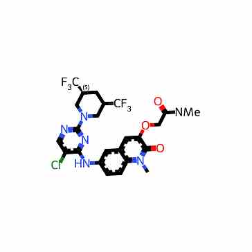 CNC(=O)COc1cc2cc(Nc3nc(N4CC(C(F)(F)F)C[C@H](C(F)(F)F)C4)ncc3Cl)ccc2n(C)c1=O